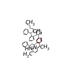 C=C(/C=C\C=C(/C)c1ccc(C2=CCCC=C2c2ccccc2C(c2ccccc2)C(C)CCCCC)cc1)C1=NC(c2ccccc2)CC(c2ccccc2)N1